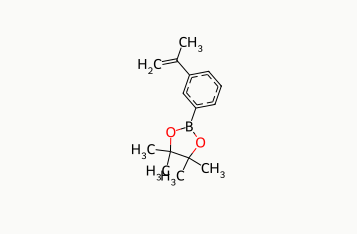 C=C(C)c1cccc(B2OC(C)(C)C(C)(C)O2)c1